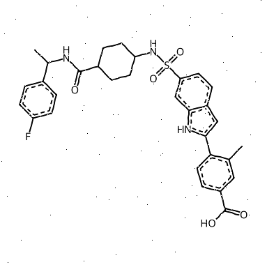 Cc1cc(C(=O)O)ccc1-c1cc2ccc(S(=O)(=O)NC3CCC(C(=O)NC(C)c4ccc(F)cc4)CC3)cc2[nH]1